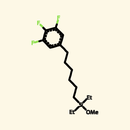 CC[Si](CC)(CCCCCCc1cc(F)c(F)c(F)c1)OC